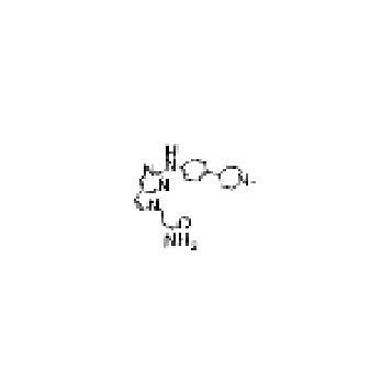 CN1CCC(c2ccc(Nc3ncc4ccn(CCC(N)=O)c4n3)cc2)CC1